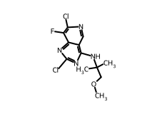 COCC(C)(C)Nc1nc(Cl)nc2c(F)c(Cl)ncc12